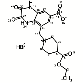 Br.CCOC(=O)C1CCN(Cc2cc([N+](=O)[O-])cc3[nH]c(=O)c(=O)[nH]c23)CC1